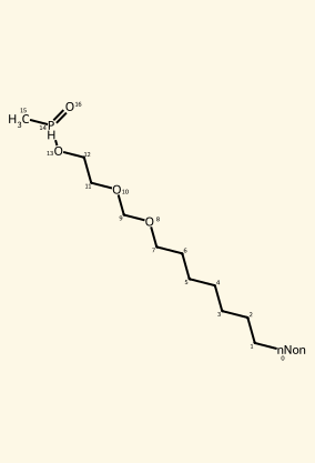 CCCCCCCCCCCCCCCCOCOCCO[PH](C)=O